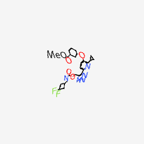 COC(=O)[C@H]1CCC[C@H](Oc2ccc(-c3nnn(C)c3COC(=O)N(C)CC3CC(F)(F)C3)nc2C2CC2)C1